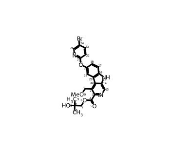 COCc1c(C(=O)OCC(C)(C)O)ncc2[nH]c3ccc(Oc4ccc(Br)cn4)cc3c12